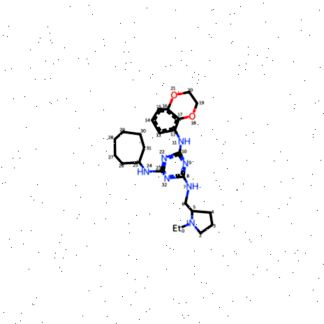 CCN1CCCC1CNc1nc(Nc2cccc3c2OCCO3)nc(NC2CCCCCC2)n1